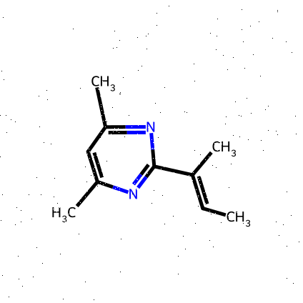 C/C=C(\C)c1nc(C)cc(C)n1